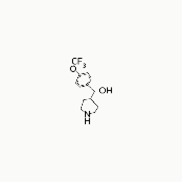 OC(c1ccc(OC(F)(F)F)cc1)C1CCNCC1